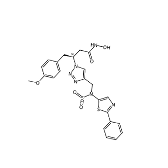 COc1ccc(C[C@@H](CC(=O)NO)n2cc(CN(c3cnc(-c4ccccc4)s3)[SH](=O)=O)nn2)cc1